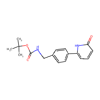 CC(C)(C)OC(=O)NCc1ccc(-c2cccc(=O)[nH]2)cc1